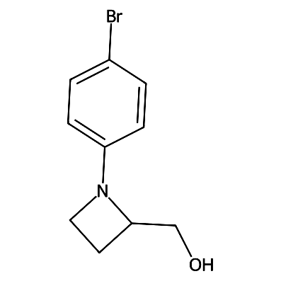 OCC1CCN1c1ccc(Br)cc1